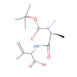 C=C(C)C(NC(=O)[C@H](C)N(C)C(=O)OC(C)(C)C)C(=O)O